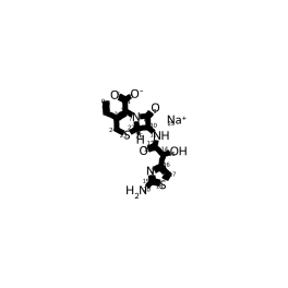 C=CC1=C(C(=O)[O-])N2C(=O)C(NC(=O)C(O)c3csc(N)n3)[C@@H]2SC1.[Na+]